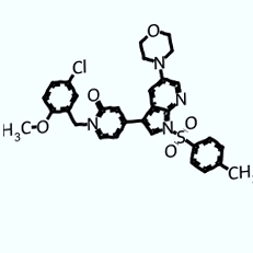 COc1ccc(Cl)cc1Cn1ccc(-c2cn(S(=O)(=O)c3ccc(C)cc3)c3ncc(N4CCOCC4)cc23)cc1=O